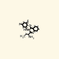 CC[C@H](N)c1nc2ccccc2c(=O)n1Nc1cc(F)cc(F)c1